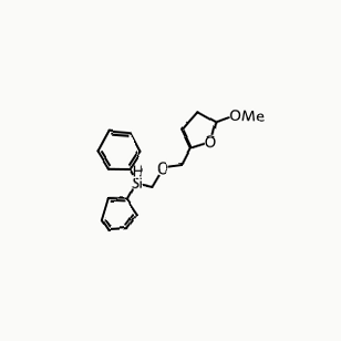 COC1CCC(COC[SiH](c2ccccc2)c2ccccc2)O1